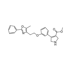 COC(=O)C1=C(c2cccc(OCCc3nc(-c4ccccc4)oc3C)c2)CNC1